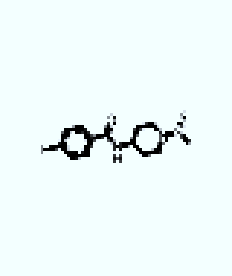 CS(=S)N1CCC(NC(=O)c2ccc(F)cc2)CC1